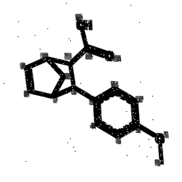 COc1ccc(C2C3C=CC(C3)C2C(=O)O)cc1